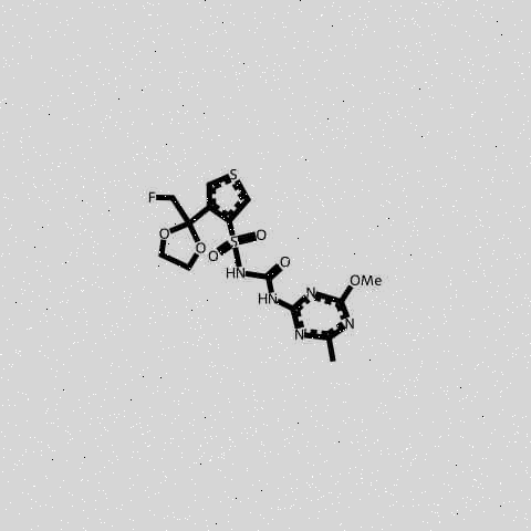 COc1nc(C)nc(NC(=O)NS(=O)(=O)c2cscc2C2(CF)OCCO2)n1